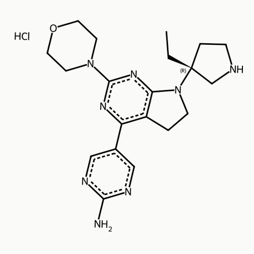 CC[C@@]1(N2CCc3c(-c4cnc(N)nc4)nc(N4CCOCC4)nc32)CCNC1.Cl